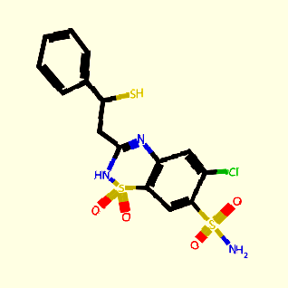 NS(=O)(=O)c1cc2c(cc1Cl)N=C(CC(S)c1ccccc1)NS2(=O)=O